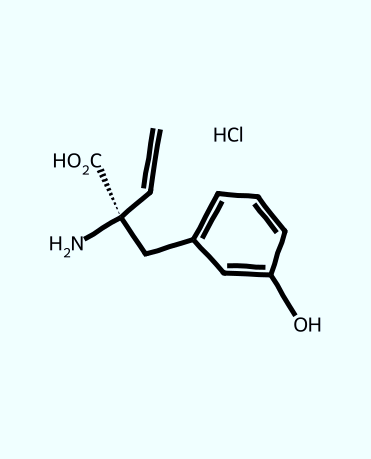 C=C[C@](N)(Cc1cccc(O)c1)C(=O)O.Cl